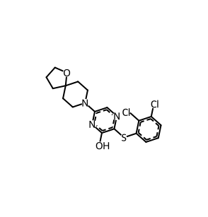 Oc1nc(N2CCC3(CCCO3)CC2)cnc1Sc1cccc(Cl)c1Cl